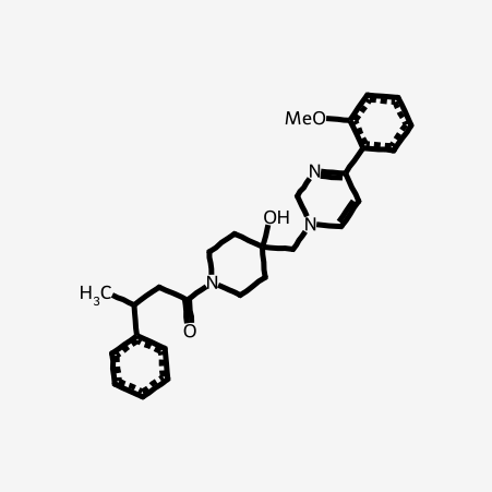 COc1ccccc1C1=NCN(CC2(O)CCN(C(=O)CC(C)c3ccccc3)CC2)C=C1